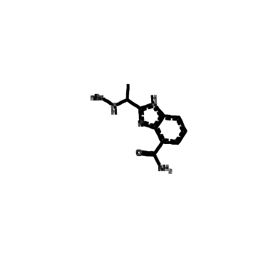 CCCCNC(C)c1nc2c(C(N)=O)cccc2[nH]1